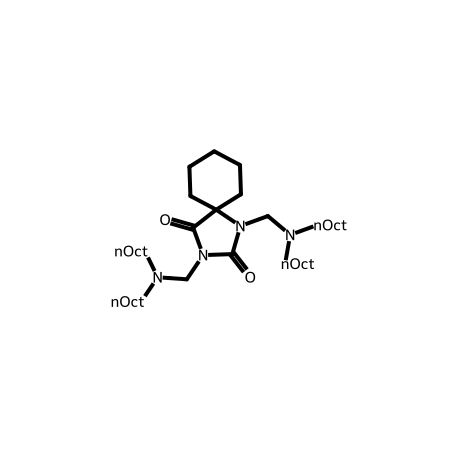 CCCCCCCCN(CCCCCCCC)CN1C(=O)N(CN(CCCCCCCC)CCCCCCCC)C2(CCCCC2)C1=O